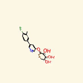 Cc1cc(-c2cncc(O[C@@H]3SC[C@@H](O)[C@H](O)[C@H]3O)c2)ccc1F